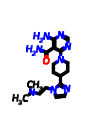 CN(C)CCn1ccnc1C1CCN(c2ncnc(N)c2C(N)=O)CC1